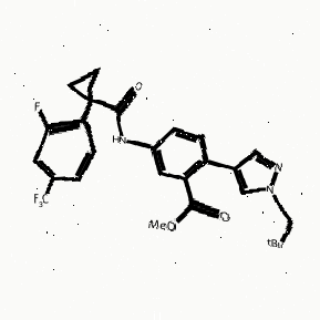 COC(=O)c1cc(NC(=O)C2(c3ccc(C(F)(F)F)cc3F)CC2)ccc1-c1cnn(CC(C)(C)C)c1